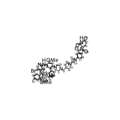 COc1cc(N2CCN(CC3CCN(C4CN(c5ccc6c(c5)C(=O)N(C5CCC(=O)NC5=O)C6=O)C4)CC3)CC2)c(-c2cnn(C)c2)cc1Nc1ncc(Br)c(Nc2ccc(C)cc2P(=O)(OC)OC)n1